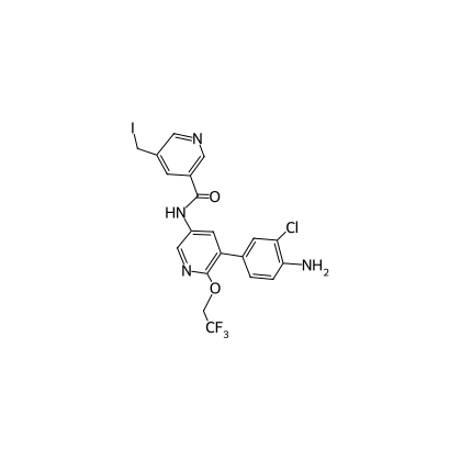 Nc1ccc(-c2cc(NC(=O)c3cncc(CI)c3)cnc2OCC(F)(F)F)cc1Cl